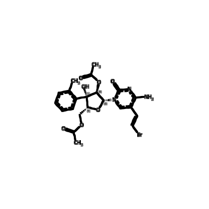 CC(=O)OC[C@H]1O[C@@H](n2cc(C=CBr)c(N)nc2=O)[C@H](OC(C)=O)[C@]1(O)c1ccccc1C